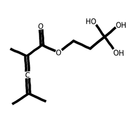 CC(C)=C=C(C)C(=O)OCCC(O)(O)O